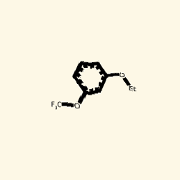 CCOc1[c]c(OC(F)(F)F)ccc1